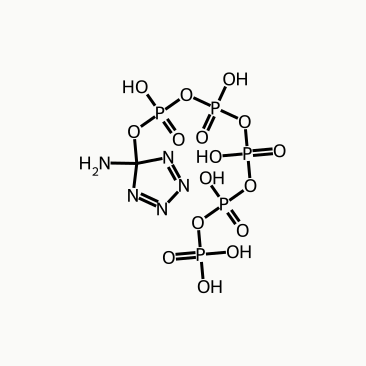 NC1(OP(=O)(O)OP(=O)(O)OP(=O)(O)OP(=O)(O)OP(=O)(O)O)N=NN=N1